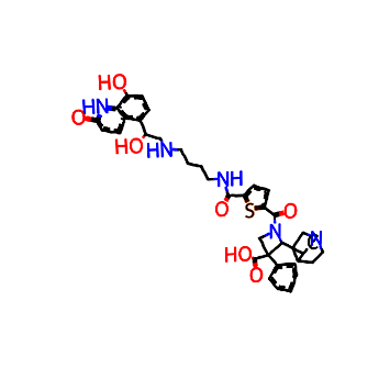 O=C(NCCCCNCC(O)c1ccc(O)c2[nH]c(=O)ccc12)c1ccc(C(=O)N2CC(C(=O)O)(c3ccccc3)C2C2CN3CCC2CC3)s1